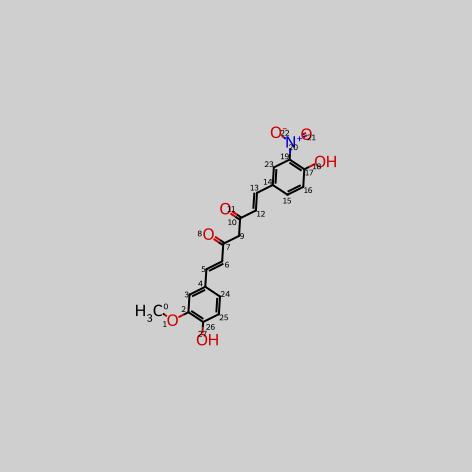 COc1cc(C=CC(=O)CC(=O)C=Cc2ccc(O)c([N+](=O)[O-])c2)ccc1O